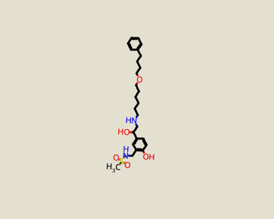 CS(=O)(=O)NCc1cc(C(O)CNCCCCCCOCCCCc2ccccc2)ccc1O